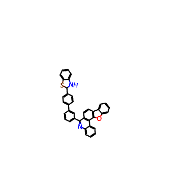 c1cc(-c2ccc(C3Nc4ccccc4S3)cc2)cc(-c2nc3ccccc3c3c2ccc2c4ccccc4oc23)c1